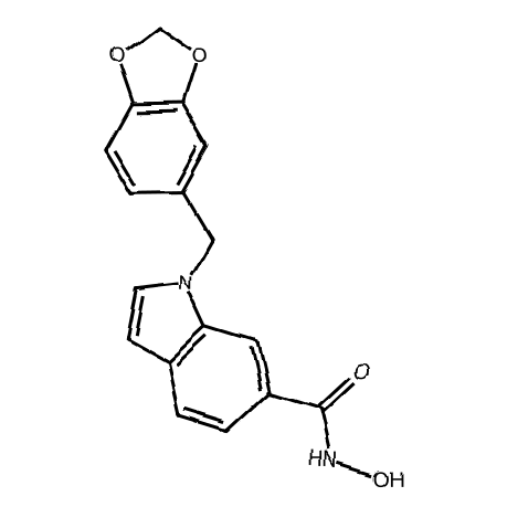 O=C(NO)c1ccc2ccn(Cc3ccc4c(c3)OCO4)c2c1